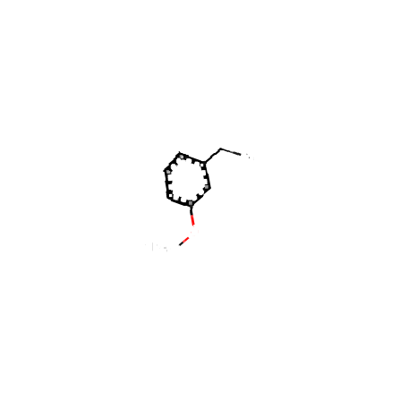 CCCCCOc1cccc(CC(C)=O)c1